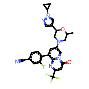 CC1CN(c2cc(-c3ccc(C#N)cc3F)c3nc(C(F)(F)F)cc(=O)n3c2)CC(c2cnn(C3CC3)c2)O1